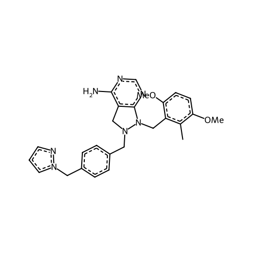 COc1ccc(OC)c(CN2c3ncnc(N)c3CN2Cc2ccc(Cn3cccn3)cc2)c1C